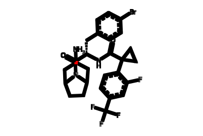 NC1CC2CCC(C1)N2C(=O)[C@H](Cc1ccc(Br)cc1)NC(=O)C1(c2ccc(C(F)(F)F)cc2F)CC1